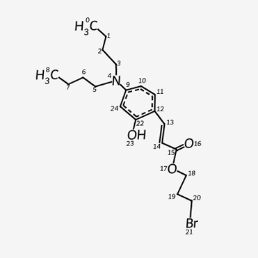 CCCCN(CCCC)c1ccc(C=CC(=O)OCCCBr)c(O)c1